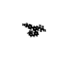 CCNC(=O)Nc1nc2cc(-c3cnc(C(C)(C)O)nc3)cc(-c3cc(CN4CCC(C)(O)C4)ccn3)c2s1